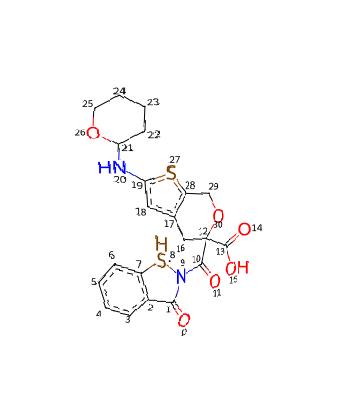 O=C1c2ccccc2[SH]N1C(=O)C1(C(=O)O)Cc2cc(NC3CCCCO3)sc2CO1